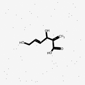 C=C(C(=O)O)C(O)C=CCO